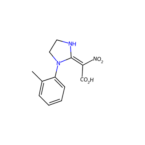 Cc1ccccc1N1CCNC1=C(C(=O)O)[N+](=O)[O-]